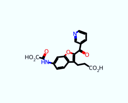 O=C(O)CCc1c(C(=O)c2cccnc2)oc2cc(NC(=O)C(=O)O)ccc12